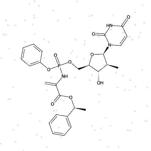 C=C(NP(=O)(OC[C@H]1O[C@@H](n2ccc(=O)[nH]c2=O)[C@@H](C)[C@@H]1O)Oc1ccccc1)C(=O)O[C@@H](C)c1ccccc1